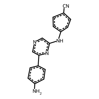 N#Cc1ccc(Nc2cncc(-c3ccc(N)cc3)n2)cc1